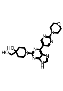 OCC1(O)CCN(c2nc(-c3cnc(N4CCOCC4)nc3)c3nc[nH]c3n2)CC1